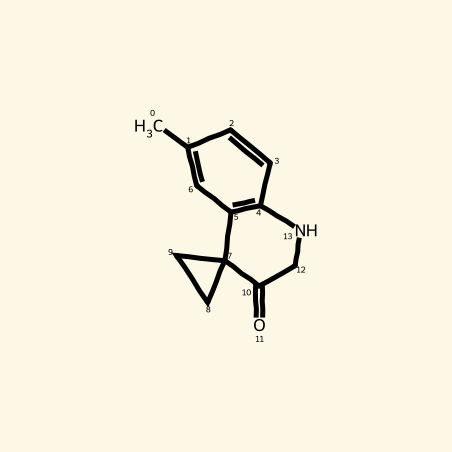 Cc1ccc2c(c1)C1(CC1)C(=O)CN2